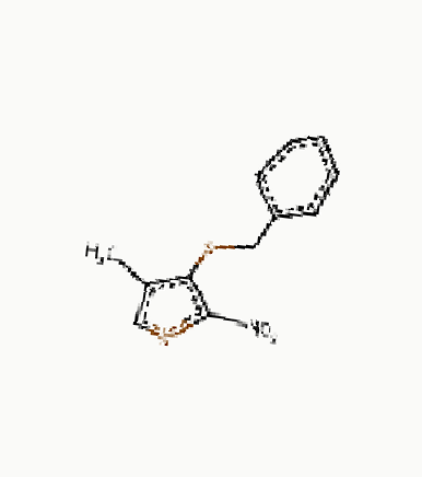 Cc1csc([N+](=O)[O-])c1SCc1ccccc1